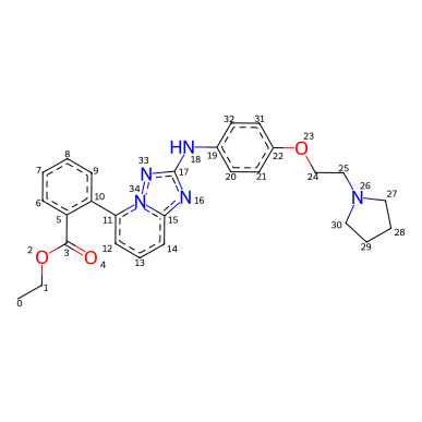 CCOC(=O)c1ccccc1-c1cccc2nc(Nc3ccc(OCCN4CCCC4)cc3)nn12